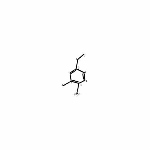 CCc1ccc(Br)c(C)c1